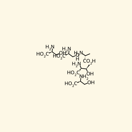 C[C@@H](N)C(=O)O.C[C@@H](O)[C@H](N)C(=O)O.N[C@@H](CO)C(=O)O.N[C@@H](CO)C(=O)O.N[C@@H](CO)C(=O)O